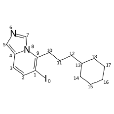 Ic1ccc2cncn2c1CCCC1CCCCC1